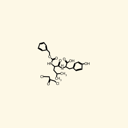 CC(C)CC(NC(=O)OCc1ccccc1)C(=O)NC(Cc1ccc(O)cc1)C(=O)O.O=C(CCl)CCl